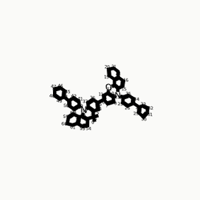 CC1(C)c2cc(-c3ccc4c(c3)Oc3c(ccc5c3C=CCC5)N4c3ccc(-c4ccccc4)cc3)ccc2N(c2ccc(-c3ccccc3)cc2)c2c1ccc1c2C=CCC1